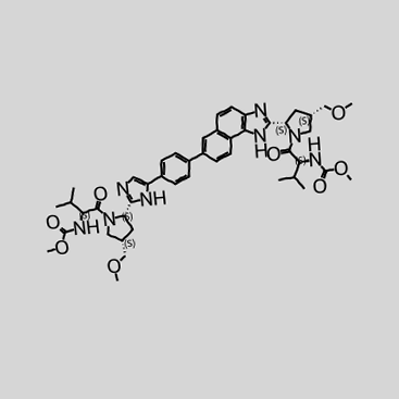 COC[C@H]1C[C@@H](c2ncc(-c3ccc(-c4ccc5c(ccc6nc([C@@H]7C[C@H](COC)CN7C(=O)[C@@H](NC(=O)OC)C(C)C)[nH]c65)c4)cc3)[nH]2)N(C(=O)[C@@H](NC(=O)OC)C(C)C)C1